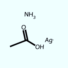 CC(=O)O.N.[Ag]